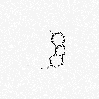 CCOC(=O)Oc1cc2c(cn1)[nH]c1ccc(N)cc12